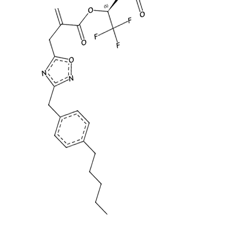 C=C(Cc1nc(Cc2ccc(CCCCC)cc2)no1)C(=O)O[C@@H](CC(=O)O)C(F)(F)F